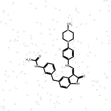 CC(=O)Nc1cccc(Cc2ccc3c(c2)/C(=C\Nc2ccc(N4CCN(C)CC4)cc2)C(=O)N3)c1